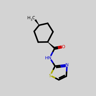 C[C@H]1CC[C@@H](C(=O)Nc2nccs2)CC1